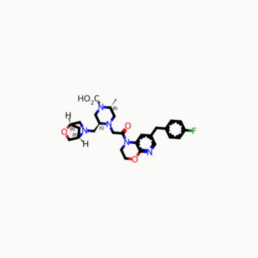 C[C@@H]1CN(CC(=O)N2CCOc3ncc(Cc4ccc(F)cc4)cc32)[C@@H](CN2C[C@H]3C[C@@H]2CO3)CN1C(=O)O